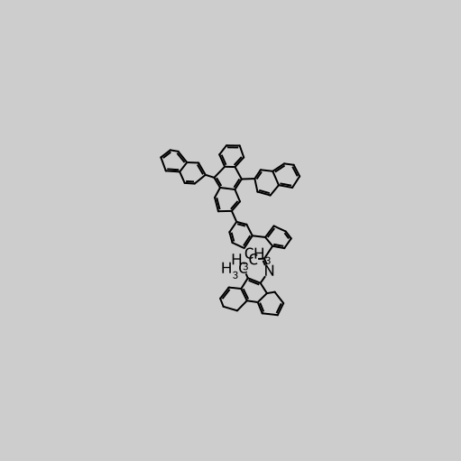 CC1=C(/N=C(\C)c2ccccc2-c2cc(-c3ccc4c(-c5ccc6ccccc6c5)c5ccccc5c(-c5ccc6ccccc6c5)c4c3)ccc2C)C2CC=CC=C2C2=C1C=CCC2